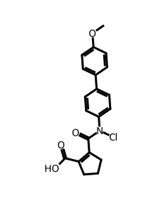 COc1ccc(-c2ccc(N(Cl)C(=O)C3=C(C(=O)O)CCC3)cc2)cc1